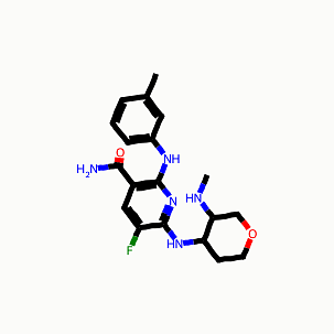 CNC1COCCC1Nc1nc(Nc2cccc(C)c2)c(C(N)=O)cc1F